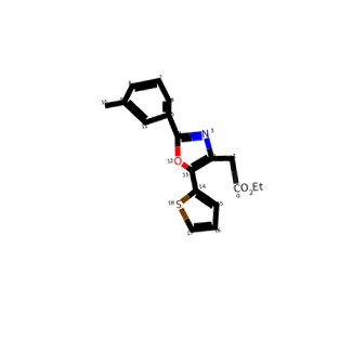 CCOC(=O)Cc1nc(-c2cccc(C)c2)oc1-c1cccs1